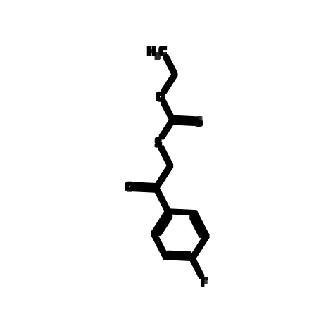 CCOC(=S)SCC(=O)c1ccc(F)cc1